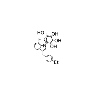 CCc1ccc(Cc2cn([C@@H]3O[C@H](CO)[C@@H](O)[C@H](O)[C@H]3O)c3c(F)cccc23)cc1